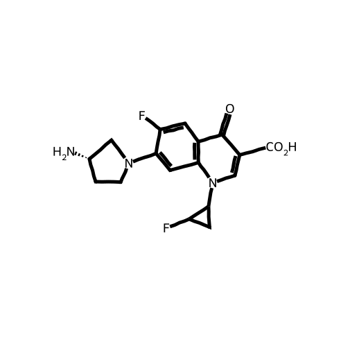 N[C@H]1CCN(c2cc3c(cc2F)c(=O)c(C(=O)O)cn3C2CC2F)C1